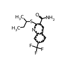 CCC(C)Sc1nc2cc(C(F)(F)F)ccc2cc1C(N)=O